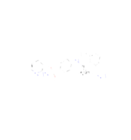 COc1cc(S(=O)(=O)Nc2cccc(F)n2)c(F)cc1N(C=O)[C@H](C)c1ccccc1CN